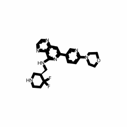 FC1(F)CCNC[C@H]1CNc1nc(-c2ccc(N3CCOCC3)nc2)cc2nccnc12